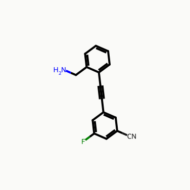 N#Cc1cc(F)cc(C#Cc2ccccc2CN)c1